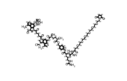 Cc1csc2c(OC(=O)N(C)CCN(C)C(=O)OCc3ccc(NC(=O)[C@H](CCCNC(N)=O)NC(=O)[C@@H](NC(=O)CCOCCOCCOCCOCCOCCOCCN4C(=O)C=CC4=O)C(C)C)cc3)cc3c(c12)[C@H](CCl)CN3C(=O)CCCC(=O)N1C[C@@H](CCl)c2c1cc(O[PH](O)(O)N=O)c1scc(C)c21